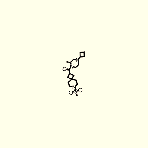 CC1CN(C2CCC2)CCN1C(=O)C1CC2(CCN(S(C)(=O)=O)CC2)C1